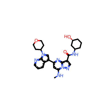 CNc1cc(-c2cn(C3CCOCC3)c3ncccc23)nc2c(C(=O)NC3CCC[C@H](O)C3)cnn12